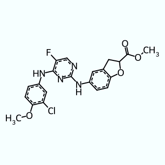 COC(=O)C1Cc2cc(Nc3ncc(F)c(Nc4ccc(OC)c(Cl)c4)n3)ccc2O1